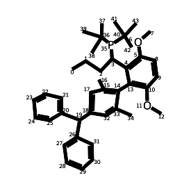 CCCC(c1c(OC)ccc(OC)c1-c1c(C)cc(C(c2ccccc2)c2ccccc2)cc1C)P(C(C)(C)C)C(C)(C)C